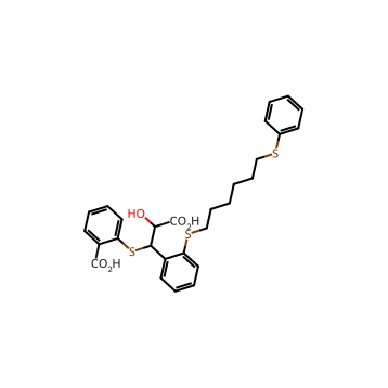 O=C(O)c1ccccc1SC(c1ccccc1SCCCCCCSc1ccccc1)C(O)C(=O)O